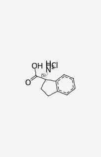 Cl.N[C@@]1(C(=O)O)CCc2ccccc21